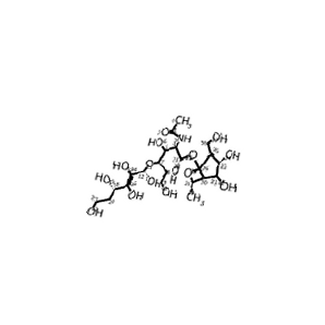 CC(=O)NC(C(O)[C@@H](CCO)O[C@H](O)/C(O)=C(\O)[C@@H](O)CCO)[C@@H](O)OC12O[C@H](C)C1C(O)[C@H](O)C2CO